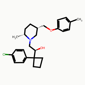 Cc1ccc(OC[C@H]2CC[C@@H](C)N(C[C@@H](O)C3(c4ccc(Cl)cc4)CCC3)C2)cc1